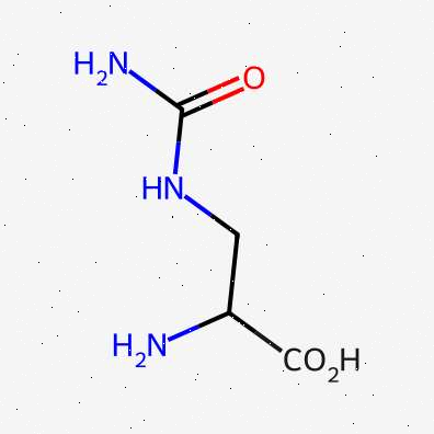 NC(=O)NCC(N)C(=O)O